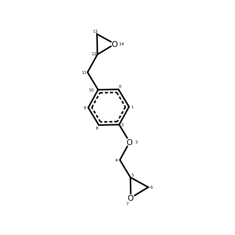 c1cc(OCC2CO2)ccc1CC1CO1